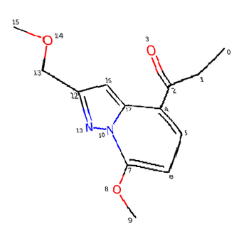 CCC(=O)c1ccc(OC)n2nc(COC)cc12